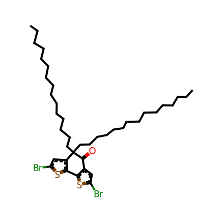 CCCCCCCCCCCCCCCC1(CCCCCCCCCCCCCCC)C(=O)c2cc(Br)sc2-c2sc(Br)cc21